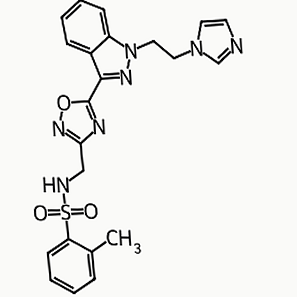 Cc1ccccc1S(=O)(=O)NCc1noc(-c2nn(CCn3ccnc3)c3ccccc23)n1